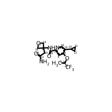 C[C@H](Oc1cc(C(=O)NC2(CC(N)=O)COC2)ncc1C1CC1)C(F)(F)F